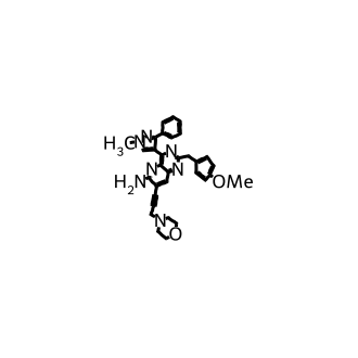 COc1ccc(Cc2nc(-c3cn(C)nc3-c3ccccc3)c3nc(N)c(C#CCN4CCOCC4)cc3n2)cc1